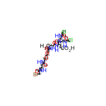 CC(CCC(=O)NC(CCC(=O)O)C(=O)N(CCNC(=O)CCl)CCNC(=O)CCl)NC(=O)COCCOCCNC(=O)CCCNC(=O)CBr